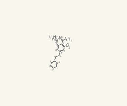 COc1cc(CCc2ccccc2)cc2nc(N)nc(N)c12